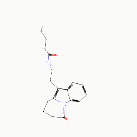 O=C(CCCCl)NCCc1c2n(c3ccccc13)C(=O)CCC2